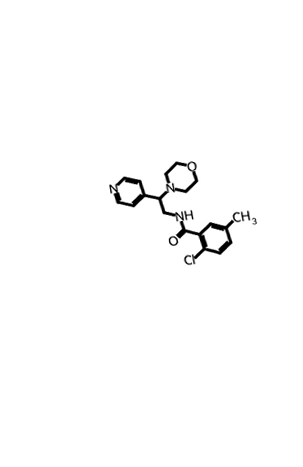 Cc1ccc(Cl)c(C(=O)NCC(c2ccncc2)N2CCOCC2)c1